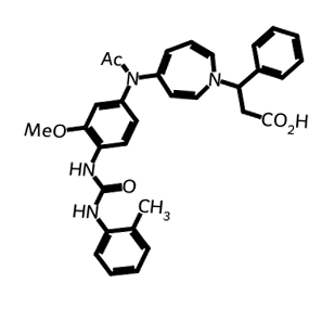 COc1cc(N(C(C)=O)C2=CC=CN(C(CC(=O)O)c3ccccc3)C=C2)ccc1NC(=O)Nc1ccccc1C